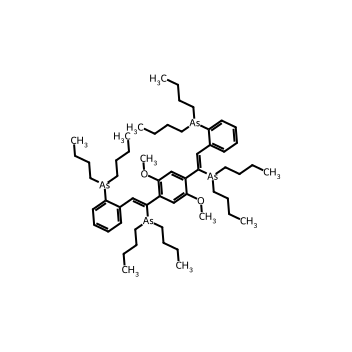 CCCC[As](CCCC)C(=Cc1ccccc1[As](CCCC)CCCC)c1cc(OC)c(C(=Cc2ccccc2[As](CCCC)CCCC)[As](CCCC)CCCC)cc1OC